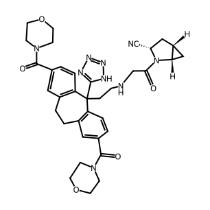 N#C[C@@H]1C[C@@H]2C[C@@H]2N1C(=O)CNCCC1(c2nnn[nH]2)c2ccc(C(=O)N3CCOCC3)cc2CCc2cc(C(=O)N3CCOCC3)ccc21